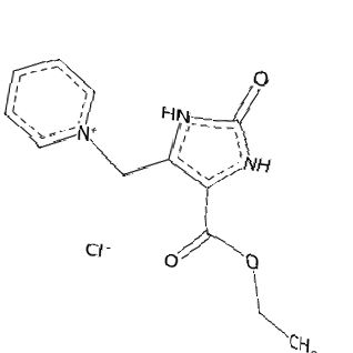 CCOC(=O)c1[nH]c(=O)[nH]c1C[n+]1ccccc1.[Cl-]